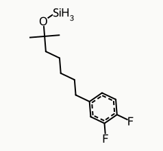 CC(C)(CCCCCc1ccc(F)c(F)c1)O[SiH3]